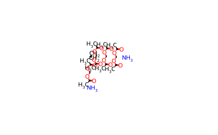 C=C.CC(=O)OCOC(C)=O.CC(=O)OCOC(C)=O.CC(=O)OCOC(C)=O.CC(=O)OCOC(C)=O.N.N